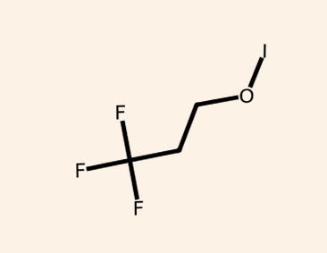 FC(F)(F)CCOI